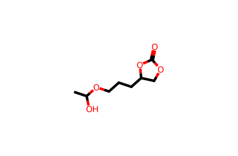 CC(O)OCCCC1COC(=O)O1